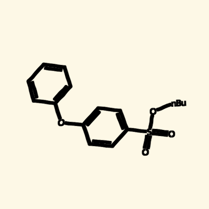 CCCCOS(=O)(=O)c1ccc(Oc2ccccc2)cc1